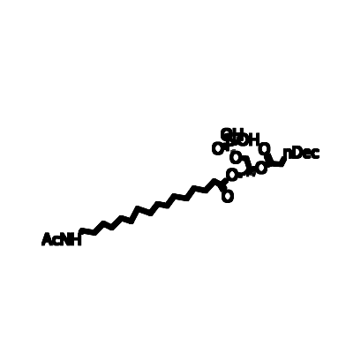 CCCCCCCCCCCC(=O)O[C@H](COC(=O)CCCCCCCCCCCCCCCNC(C)=O)COP(=O)(O)O